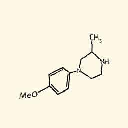 COc1ccc(N2CCNC(C)C2)cc1